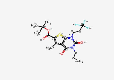 CCCn1c(=O)c2c(C)c(C(=O)OC(C)(C)C)sc2n(CCC(F)(F)F)c1=O